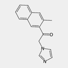 Cc1cc2ccccc2cc1C(=O)Cn1ccnc1